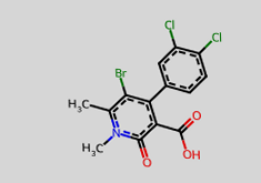 Cc1c(Br)c(-c2ccc(Cl)c(Cl)c2)c(C(=O)O)c(=O)n1C